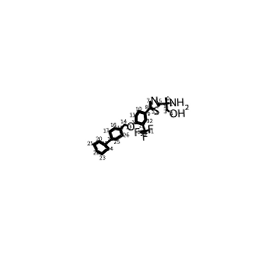 CC(N)(CO)c1ncc(-c2ccc(OCc3ccc(-c4ccccc4)cc3)c(C(F)(F)F)c2)s1